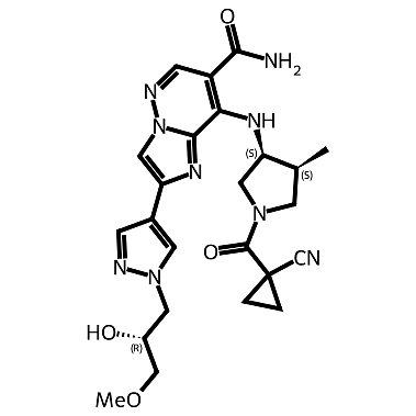 COC[C@H](O)Cn1cc(-c2cn3ncc(C(N)=O)c(N[C@@H]4CN(C(=O)C5(C#N)CC5)C[C@@H]4C)c3n2)cn1